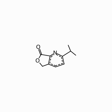 CC(C)c1ccc2c(n1)C(=O)OC2